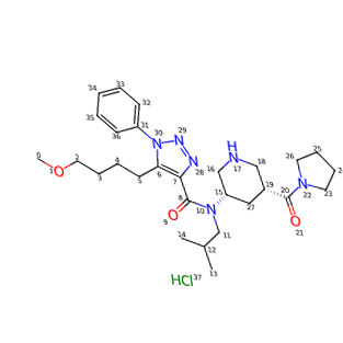 COCCCCc1c(C(=O)N(CC(C)C)[C@@H]2CNC[C@H](C(=O)N3CCCC3)C2)nnn1-c1ccccc1.Cl